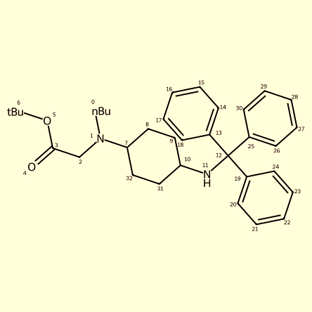 CCCCN(CC(=O)OC(C)(C)C)C1CCC(NC(c2ccccc2)(c2ccccc2)c2ccccc2)CC1